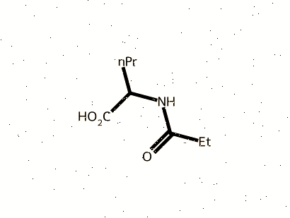 CCCC(NC(=O)CC)C(=O)O